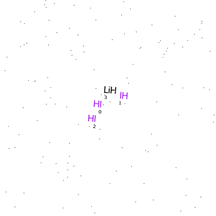 I.I.I.[LiH]